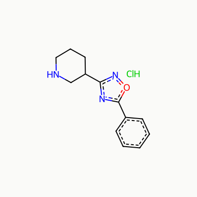 Cl.c1ccc(-c2nc(C3CCCNC3)no2)cc1